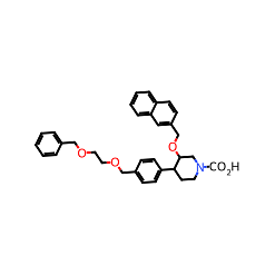 O=C(O)N1CCC(c2ccc(COCCOCc3ccccc3)cc2)C(OCc2ccc3ccccc3c2)C1